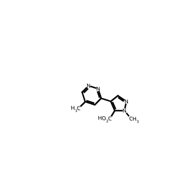 Cc1cnnc(-c2cnn(C)c2C(=O)O)c1